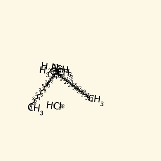 CCCCCCCCCCCCCCCCC(C)(CCCCCCCCCCCCCCCC)C(C)(C)N.Cl